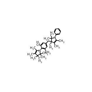 CC1=C(C)C(C)(C)C(C)(C)N1c1c(C)cc(CC2(C)C(C)=C(C)N(c3ccccc3)C2(C)C)cc1C